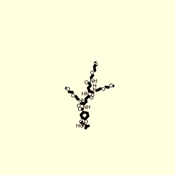 COCCOCCNC(=O)CCC(NC(=O)CCC(NC(=O)[C@H]1CC[C@@H](OP(=O)(O)C(C)C)CC1)C(=O)NCCOCCOC)C(=O)NCCOCCOC